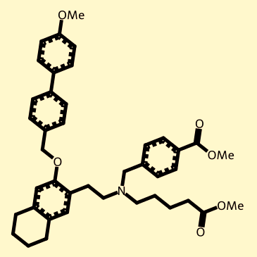 COC(=O)CCCCN(CCc1cc2c(cc1OCc1ccc(-c3ccc(OC)cc3)cc1)CCCC2)Cc1ccc(C(=O)OC)cc1